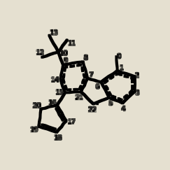 Cc1cccc2c1-c1cc(C(C)(C)C)cc(C3=CC=CC3)c1[CH]2